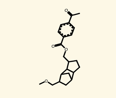 COCC1CC2CC1C1C(COC(=O)c3ccc(C(C)=O)cc3)CCC21